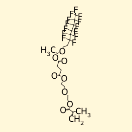 C=C(C)C(=O)OCCOCCOC(=O)CCC(=O)OC(C)OCCC(F)(F)C(F)(F)C(F)(F)C(F)(F)C(F)(F)C(F)(F)F